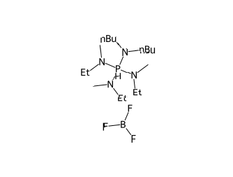 CCCCN(CCCC)[PH](N(C)CC)(N(C)CC)N(C)CC.FB(F)F